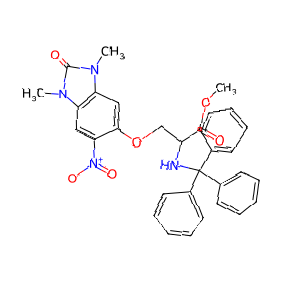 COC(=O)C(COc1cc2c(cc1[N+](=O)[O-])n(C)c(=O)n2C)NC(c1ccccc1)(c1ccccc1)c1ccccc1